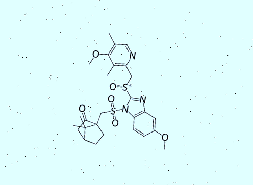 COc1ccc2c(c1)nc([S+]([O-])Cc1ncc(C)c(OC)c1C)n2S(=O)(=O)CC12CCC(CC1=O)C2(C)C